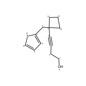 OCCC#CC1(Cc2cccs2)CCC1